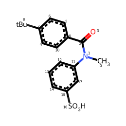 CN(C(=O)c1ccc(C(C)(C)C)cc1)c1cccc(S(=O)(=O)O)c1